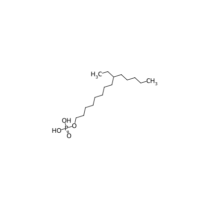 CCCCCC(CC)CCCCCCCCOP(=O)(O)O